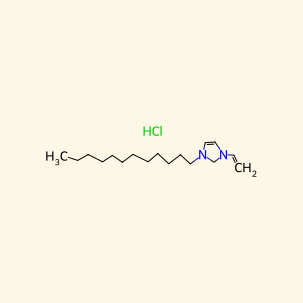 C=CN1C=CN(CCCCCCCCCCCC)C1.Cl